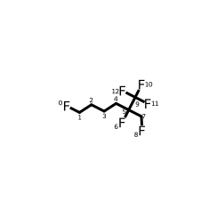 FCCCCC(F)(CF)C(F)(F)F